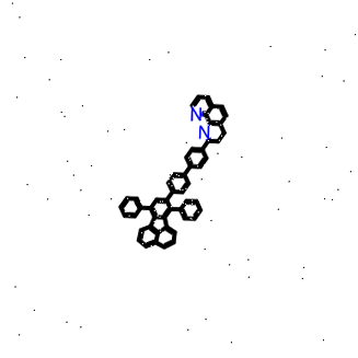 c1ccc(-c2cc(-c3ccc(-c4ccc(C5=Nc6c(ccc7cccnc67)CC5)cc4)cc3)c(-c3ccccc3)c3c2-c2cccc4cccc-3c24)cc1